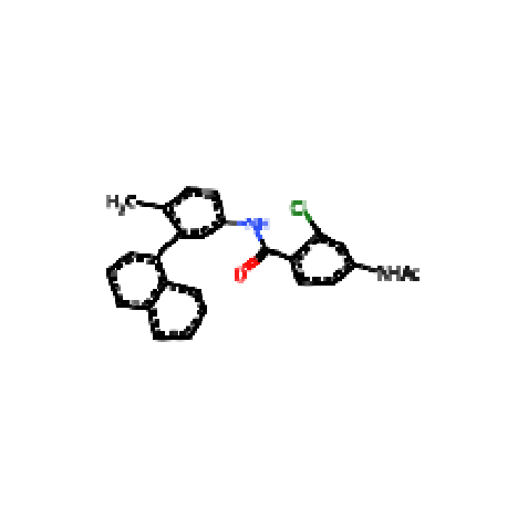 CC(=O)Nc1ccc(C(=O)Nc2ccc(C)c(-c3cccc4ccccc34)c2)c(Cl)c1